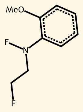 COc1ccccc1N(F)CCF